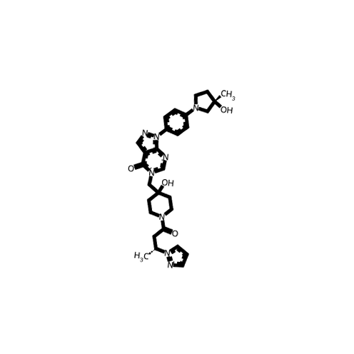 C[C@H](CC(=O)N1CCC(O)(Cn2cnc3c(cnn3-c3ccc(N4CC[C@](C)(O)C4)cc3)c2=O)CC1)n1cccn1